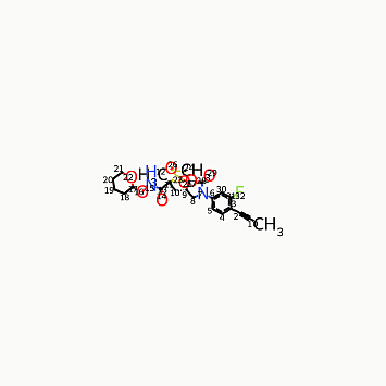 CC#Cc1ccc(N2C[C@H](C[C@](C)(C(=O)NOC3CCCCO3)S(C)(=O)=O)OC2=O)cc1F